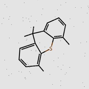 Cc1cccc2c1Sc1c(C)cccc1C2(C)C